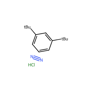 CC(C)(C)c1cccc(C(C)(C)C)c1.Cl.N#N